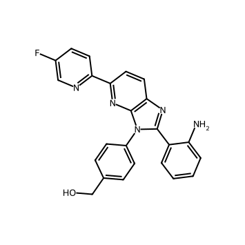 Nc1ccccc1-c1nc2ccc(-c3ccc(F)cn3)nc2n1-c1ccc(CO)cc1